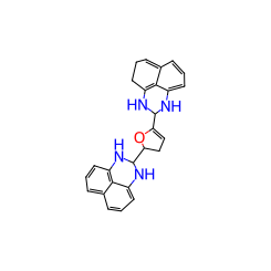 C1=C(C2NC3=c4c(cccc4=CCC3)N2)OC(C2Nc3cccc4cccc(c34)N2)C1